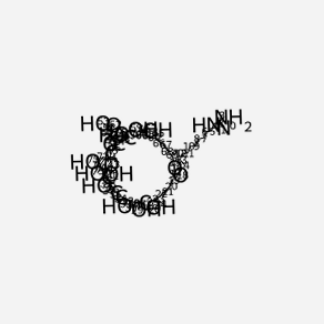 CN=C(N)NCCC/C=C/CCCC(C)C1OC(=O)/C=C\C=C\C(C)C(O)CC(O)C(C)C(O)CCC(C)C(O)CC2(O)OC(CC(OC(=O)CC(=O)O)CC(O)CC(O)C(C)C(O)/C(C)=C/C=C/C1C)CC(O)C2O